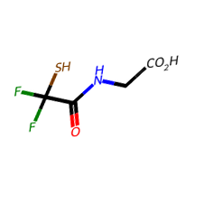 O=C(O)CNC(=O)C(F)(F)S